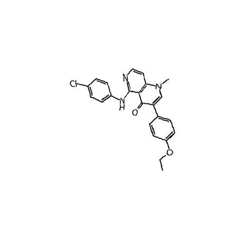 CCOc1ccc(-c2cn(C)c3ccnc(Nc4ccc(Cl)cc4)c3c2=O)cc1